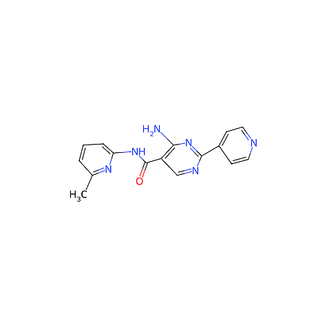 Cc1cccc(NC(=O)c2cnc(-c3ccncc3)nc2N)n1